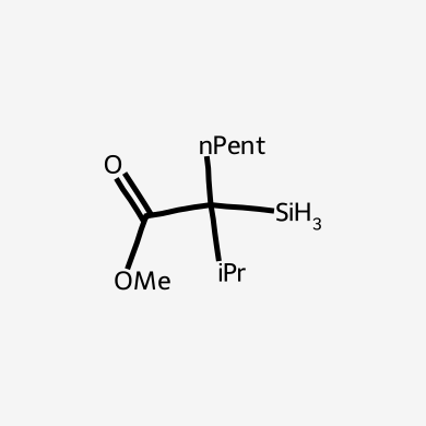 CCCCCC([SiH3])(C(=O)OC)C(C)C